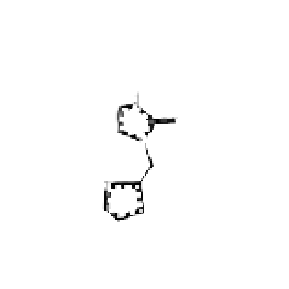 S=c1[nH]ccn1Cc1cccs1